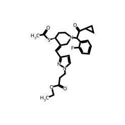 CCOC(=O)CCn1ccc(/C=C2\CN(C(C(=O)C3CC3)c3ccccc3F)CC[C@@H]2SC(C)=O)n1